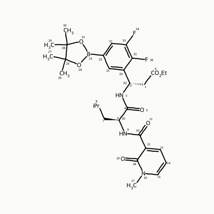 CCOC(=O)C[C@H](NC(=O)[C@H](CC(C)C)NC(=O)c1cccn(C)c1=O)c1cc(B2OC(C)(C)C(C)(C)O2)cc(F)c1F